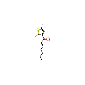 CCCC/C=C/C(=O)c1cc(C)sc1C